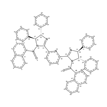 O=C(c1cccc2ccccc12)N1C(c2cccc(C3=N[C@@H](c4ccccc4)[C@H](c4ccccc4)N3C(=O)c3cccc4ccccc34)n2)=N[C@@H](c2ccccc2)[C@@H]1c1ccccc1